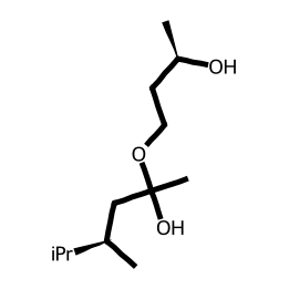 CC(C)[C@H](C)CC(C)(O)OCC[C@@H](C)O